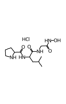 CC(C)CC(NC(=O)C1CCCN1)C(=O)NCC(=O)NO.Cl